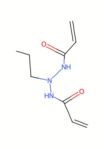 C=CC(=O)NN(CCC)NC(=O)C=C